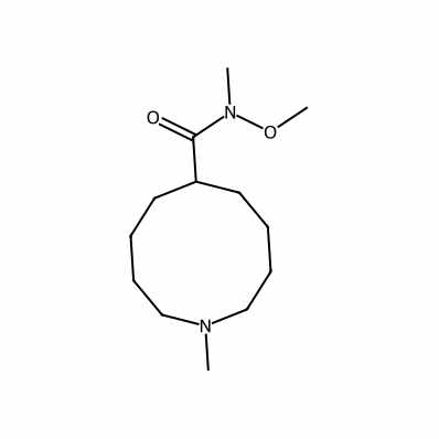 CON(C)C(=O)C1CCCCN(C)CCCC1